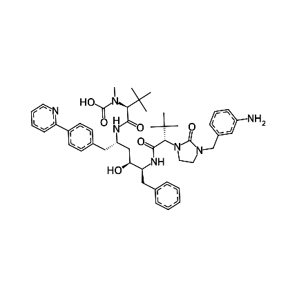 CN(C(=O)O)[C@H](C(=O)N[C@@H](Cc1ccc(-c2ccccn2)cc1)C[C@H](O)[C@H](Cc1ccccc1)NC(=O)[C@@H](N1CCN(Cc2cccc(N)c2)C1=O)C(C)(C)C)C(C)(C)C